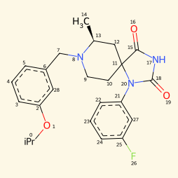 CC(C)Oc1cccc(CN2CCC3(C[C@@H]2C)C(=O)NC(=O)N3c2cccc(F)c2)c1